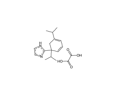 CC(C)C1=CC=CC(c2ncc[nH]2)(C(C)C)C1.O=C(O)C(=O)O